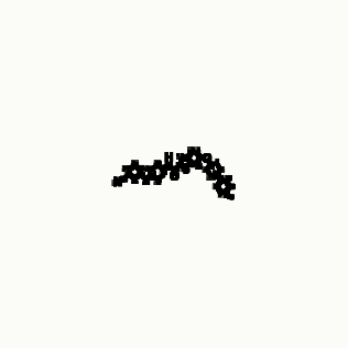 Cc1ccc(N2CCC(Oc3ccc4cc(C(=O)NC5CCN(Cc6cccc(C#N)c6)CC5)sc4c3)CC2)cc1